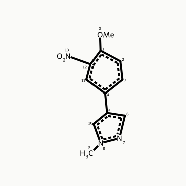 COc1ccc(-c2cnn(C)c2)cc1[N+](=O)[O-]